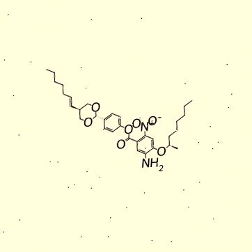 CCCCCC=C[C@H]1CO[C@H](c2ccc(OC(=O)c3cc(N)c(O[C@H](C)CCCCCC)cc3[N+](=O)[O-])cc2)OC1